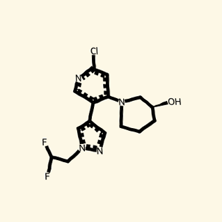 O[C@H]1CCCN(c2cc(Cl)ncc2-c2cnn(CC(F)F)c2)C1